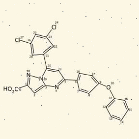 O=C(O)c1cc2nc(-c3ccc(Oc4ccccc4)cc3)cc(-c3cc(Cl)cc(Cl)c3)n2n1